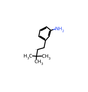 CC(C)(C)[CH]Cc1cccc(N)c1